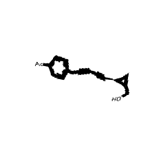 CC(=O)c1ccc(C#CC#C[C@H]2CC2CO)cc1